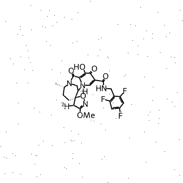 [2H]C1C(OC)=NO[C@@]12CC[C@H](C)N1C[C@H]2n2cc(C(=O)NCc3c(F)cc(F)cc3F)c(=O)c(O)c2C1=O